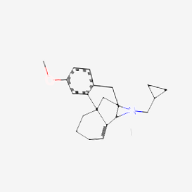 COc1ccc2c(c1)C13CCCC=C1[C@@H]1N(CC4CC4)C1(C2)C3